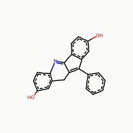 Oc1ccc2c(c1)CC1=C(c3ccccc3)c3cc(O)ccc3C1=N2